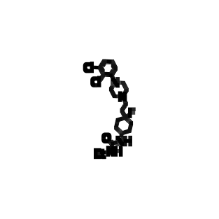 CCNC(=O)NC1CCC(F)(CCN2CCN(c3cccc(Cl)c3Cl)CC2)CC1